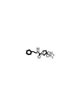 CC1(C)CCN(C(=O)NCCc2ccccc2)C1